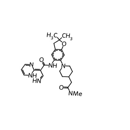 CNC(=O)CC1CCN(c2cc3c(cc2NC(=O)/C(C=N)=C2\N=CC=CN2)CC(C)(C)O3)CC1